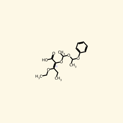 CCO/C(CC)=C(/OC(C)OC(C)Oc1ccccc1)C(=O)O